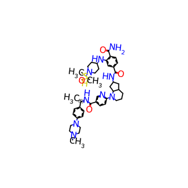 C[C@H](NC(=O)c1ccc(N2CCCC3CC(NC(=O)c4ccc(C(N)=O)c(NC5CCN([SH](C)(C)=O)CC5)c4)CC32)nc1)c1ccc(N2CCN(C)CC2)cc1